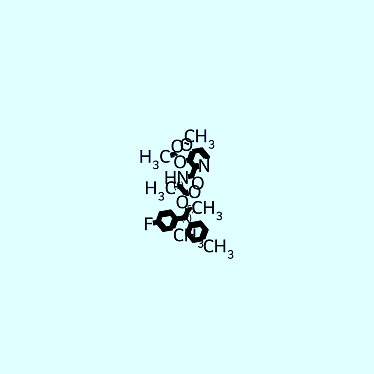 COc1ccnc(C(=O)N[C@@H](C)C(=O)O[C@@H](C)[C@H](C2=CC=C(C)CC2)c2ccc(F)cc2C)c1OC(C)=O